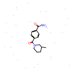 CC1CCCN(C(=O)c2ccc(C(N)=O)cc2)C1